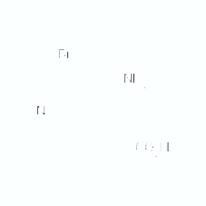 Nc1c(C(=O)O)ccnc1Br